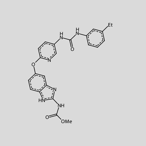 CCc1cccc(NC(=O)Nc2ccc(Oc3ccc4[nH]c(NC(=O)OC)nc4c3)nc2)c1